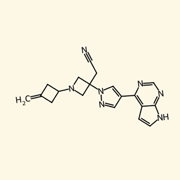 C=C1CC(N2CC(CC#N)(n3cc(-c4ncnc5[nH]ccc45)cn3)C2)C1